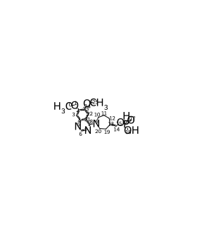 COc1cc2ncnc(N3CCC/C(=C\O[PH](=O)O)CC3)c2cc1OC